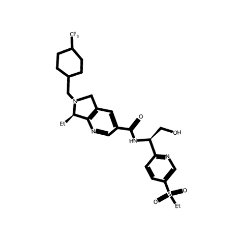 CC[C@@H]1c2ncc(C(=O)N[C@@H](CO)c3ccc(S(=O)(=O)CC)cn3)cc2CN1CC1CCC(C(F)(F)F)CC1